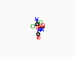 COc1ccc(Cn2cnc(C(C)=O)c(Oc3cc(Cl)cc(C#N)c3Cl)c2=O)cc1